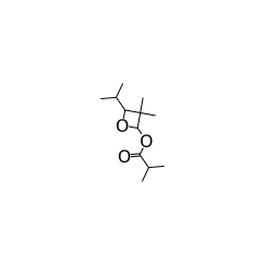 CC(C)C(=O)OC1OC(C(C)C)C1(C)C